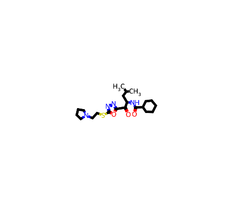 CC(C)CC(NC(=O)C1CCCCC1)C(=O)c1nnc(SCCN2CCCC2)o1